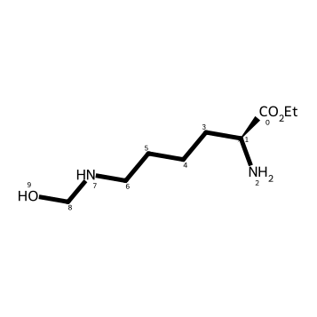 CCOC(=O)[C@@H](N)CCCCNCO